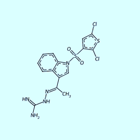 CC(=NNC(=N)N)c1cn(S(=O)(=O)c2cc(Cl)sc2Cl)c2ccccc12